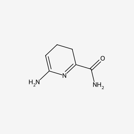 NC(=O)C1=NC(N)=CCC1